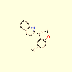 CC1(C)C=C(c2ccc3ccccc3n2)c2cc(C#N)ccc2O1